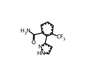 NC(=O)c1cccc(C(F)(F)F)c1-c1cc[nH]n1